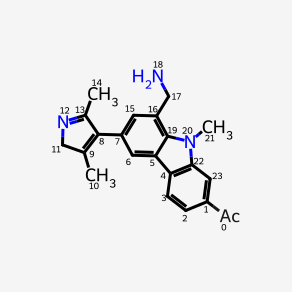 CC(=O)c1ccc2c3cc(C4=C(C)CN=C4C)cc(CN)c3n(C)c2c1